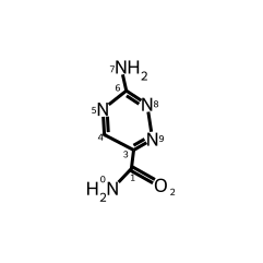 NC(=O)c1cnc(N)nn1